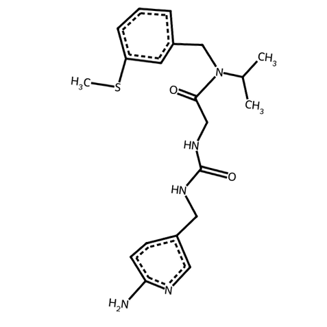 CSc1cccc(CN(C(=O)CNC(=O)NCc2ccc(N)nc2)C(C)C)c1